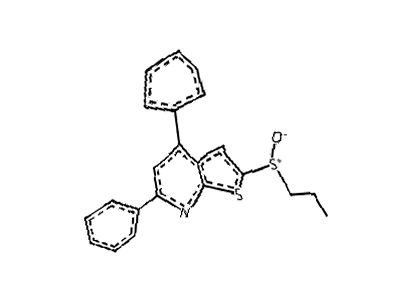 CCC[S+]([O-])c1cc2c(-c3ccccc3)cc(-c3ccccc3)nc2s1